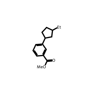 CCC1CCC(c2cccc(C(=O)OC)c2)C1